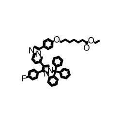 CCOC(=O)CCCCCCOc1ccc(-c2cnc3ccc(-c4cn(C(c5ccccc5)(c5ccccc5)c5ccccc5)nc4-c4ccc(F)cc4)cn23)cc1